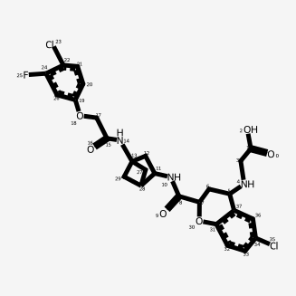 O=C(O)CNC1CC(C(=O)NC2CC3(NC(=O)COc4ccc(Cl)c(F)c4)CC2C3)Oc2ccc(Cl)cc21